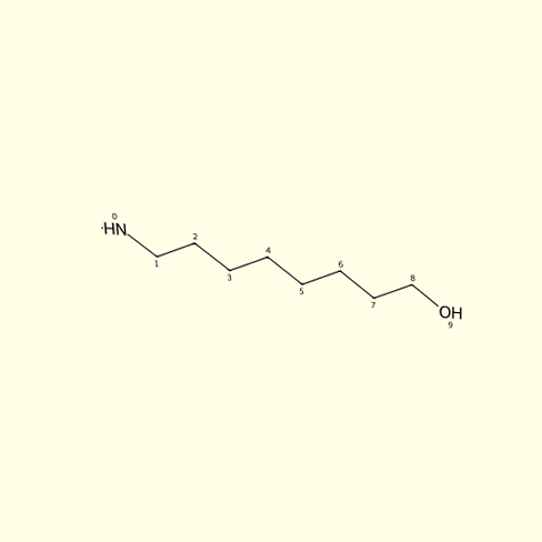 [NH]CCCCCCCCO